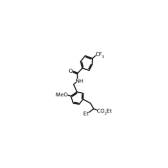 CCOC(=O)C(CC)Cc1ccc(OC)c(CNC(=O)c2ccc(C(F)(F)F)cc2)c1